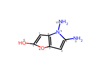 Nc1cc2oc(O)cc2n1N